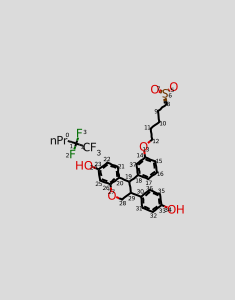 CCCC(F)(F)C(F)(F)F.O=S(=O)=CCCCCOc1cccc(C2c3ccc(O)cc3OCC2c2ccc(O)cc2)c1